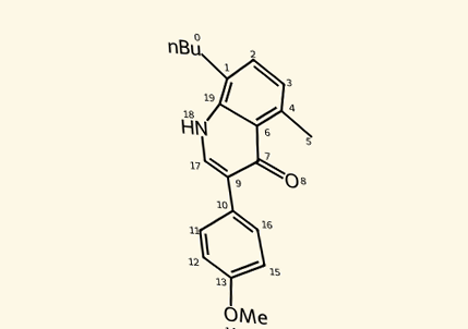 CCCCc1ccc(C)c2c(=O)c(-c3ccc(OC)cc3)c[nH]c12